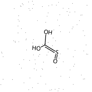 O=S=C(O)O